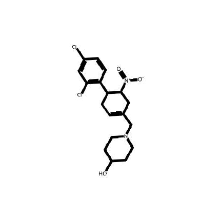 O=[N+]([O-])C1CC(CN2CCC(O)CC2)=CCC1c1ccc(Cl)cc1Cl